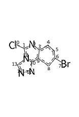 Clc1nc2ccc(Br)cc2c2nncn12